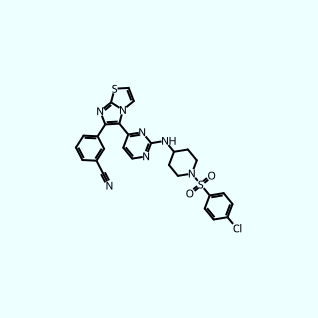 N#Cc1cccc(-c2nc3sccn3c2-c2ccnc(NC3CCN(S(=O)(=O)c4ccc(Cl)cc4)CC3)n2)c1